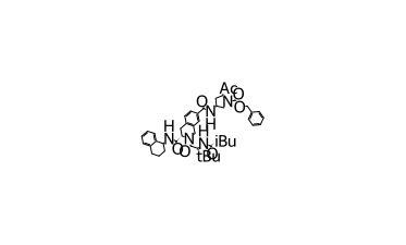 CC[C@@H](C)C(=O)N[C@H](C(=O)N1Cc2cc(C(=O)NC3C[C@@H](C(C)=O)N(C(=O)OCc4ccccc4)C3)ccc2C[C@H]1C(=O)NC1CCCc2ccccc21)C(C)(C)C